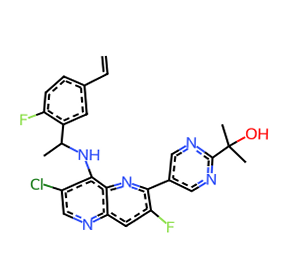 C=Cc1ccc(F)c(C(C)Nc2c(Cl)cnc3cc(F)c(-c4cnc(C(C)(C)O)nc4)nc23)c1